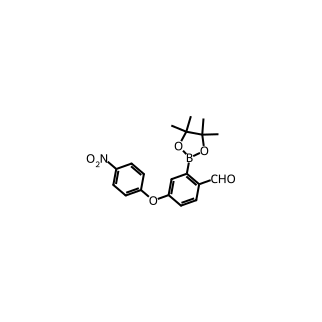 CC1(C)OB(c2cc(Oc3ccc([N+](=O)[O-])cc3)ccc2C=O)OC1(C)C